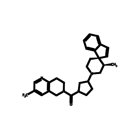 C[C@H]1CN(C2CCN(C(=O)N3CCc4ncc(C(F)(F)F)cc4C3)C2)CC[C@@]12C=Cc1ccccc12